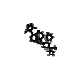 Cc1noc(C)c1-c1ccc2nc(N3CCC(N(C=O)C4(C)CCC4)CC3)n3c2c1OC[C@@H]3c1ccccn1